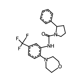 O=C(Nc1cc(C(F)(F)F)ccc1N1CCOCC1)N1CCCC1c1ccccc1